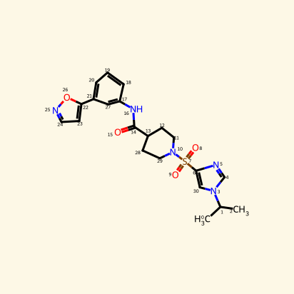 CC(C)n1cnc(S(=O)(=O)N2CCC(C(=O)Nc3cccc(-c4ccno4)c3)CC2)c1